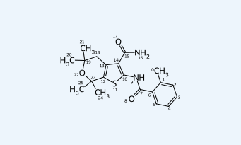 Cc1ccccc1C(=O)Nc1sc2c(c1C(N)=O)CC(C)(C)OC2(C)C